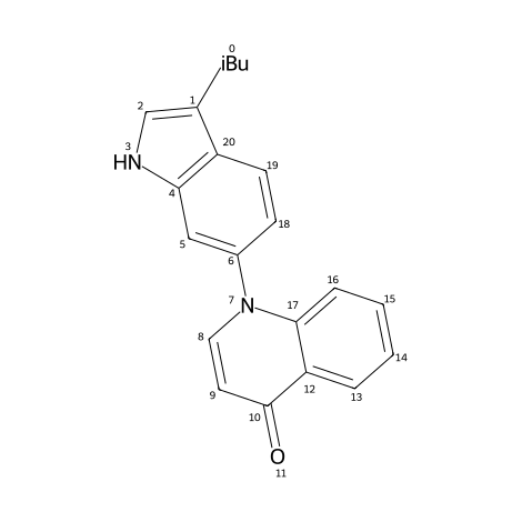 CCC(C)c1c[nH]c2cc(-n3ccc(=O)c4ccccc43)ccc12